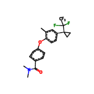 Cc1cc(C2(C(F)(F)C(F)(F)F)CC2)ccc1Oc1ccc(C(=O)N(C)C)cc1